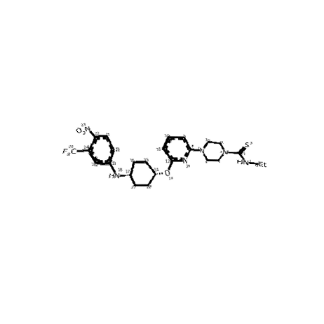 CCNC(=S)N1CCN(c2cccc(O[C@H]3CC[C@H](Nc4ccc([N+](=O)[O-])c(C(F)(F)F)c4)CC3)n2)CC1